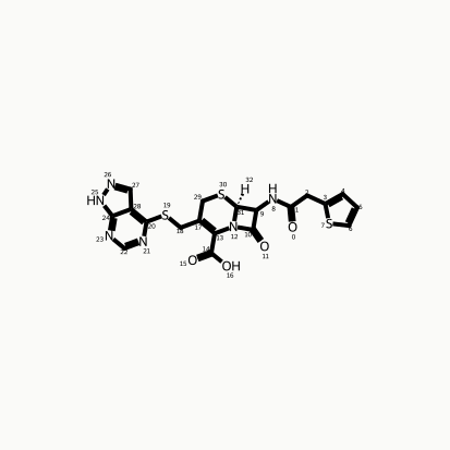 O=C(Cc1cccs1)NC1C(=O)N2C(C(=O)O)=C(CSc3ncnc4[nH]ncc34)CS[C@@H]12